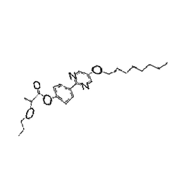 CCCCCCCCOc1cnc(-c2ccc(OC(=O)C(C)OCCC)cc2)nc1